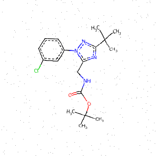 CC(C)(C)OC(=O)NCc1nc(C(C)(C)C)nn1-c1cccc(Cl)c1